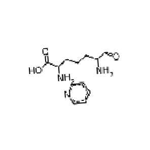 NC(C=O)CCCC(N)C(=O)O.c1ccncc1